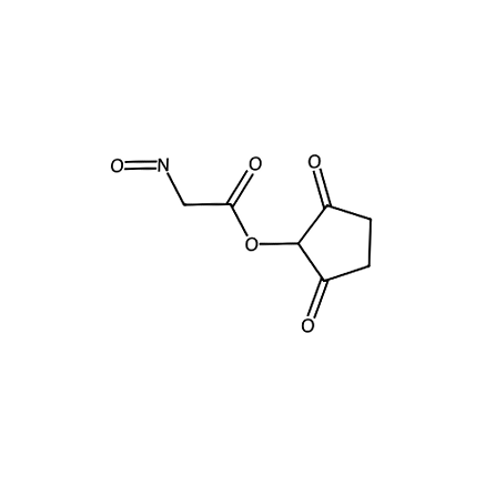 O=NCC(=O)OC1C(=O)CCC1=O